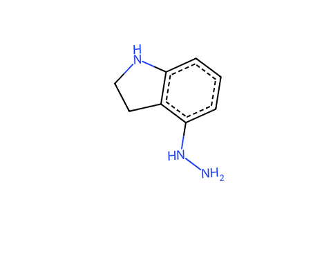 NNc1cccc2c1CCN2